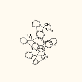 CC1(C)c2ccccc2-c2ccc(N(c3ccccc3)c3ccc4c(c3)Oc3ccccc3C43c4ccccc4-c4cccc(N(c5ccccc5)c5ccc6c(c5)C(C)(C)c5ccccc5-6)c43)cc21